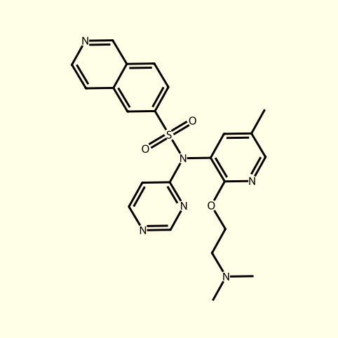 Cc1cnc(OCCN(C)C)c(N(c2ccncn2)S(=O)(=O)c2ccc3cnccc3c2)c1